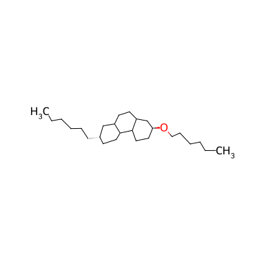 CCCCCCO[C@H]1CCC2C(CCC3C[C@@H](CCCCCC)CCC32)C1